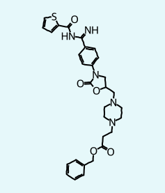 N=C(NC(=O)c1cccs1)c1ccc(N2CC(CN3CCN(CCC(=O)OCc4ccccc4)CC3)OC2=O)cc1